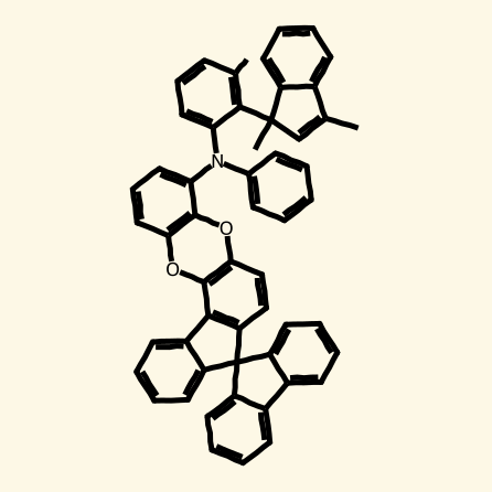 CC1=CC(C)(c2c(C)cccc2N(c2ccccc2)c2cccc3c2Oc2ccc4c(c2O3)-c2ccccc2C42c3ccccc3-c3ccccc32)c2ccccc21